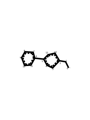 [CH2]Cc1ccc(-c2ccccc2)cc1